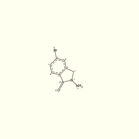 NN1Cc2cc(Br)ccc2C1=O